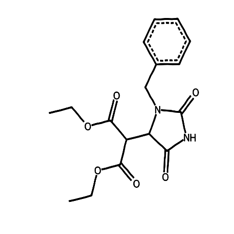 CCOC(=O)C(C(=O)OCC)C1C(=O)NC(=O)N1Cc1ccccc1